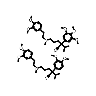 COc1ccc(CCN(C)CCCC(C#N)(c2cc(OC)c(OC)c(OC)c2)C(C)C)cc1OC.COc1ccc(CCN(C)CCCC(C#N)(c2ccc(OC)c(OC)c2)C(C)C)cc1OC